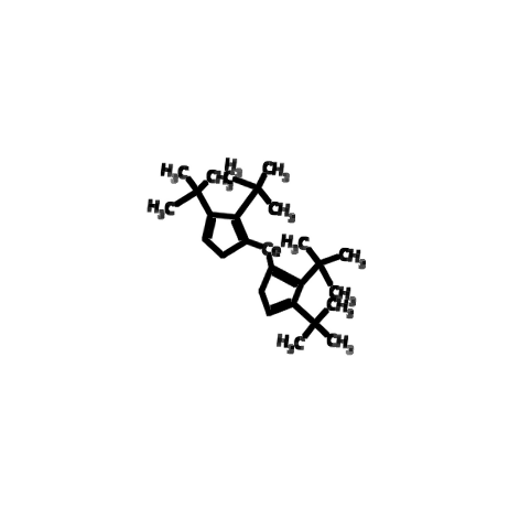 CC(C)(C)C1=CC[C]([Ce][C]2=C(C(C)(C)C)C(C(C)(C)C)=CC2)=C1C(C)(C)C